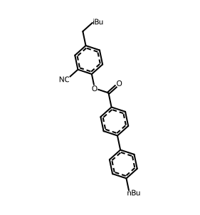 CCCCc1ccc(-c2ccc(C(=O)Oc3ccc(CC(C)CC)cc3C#N)cc2)cc1